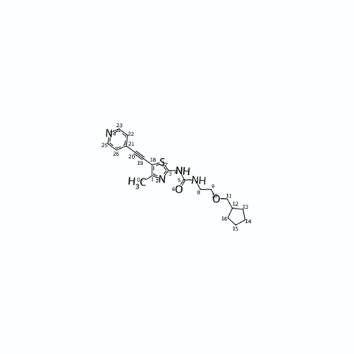 Cc1nc(NC(=O)NCCOCC2CCCC2)sc1C#Cc1ccncc1